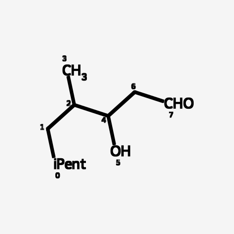 CCCC(C)CC(C)C(O)CC=O